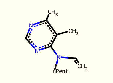 C=CN(CCCCC)c1ncnc(C)c1C